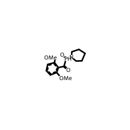 COc1cccc(OC)c1C(=O)[PH](=O)N1CCCCC1